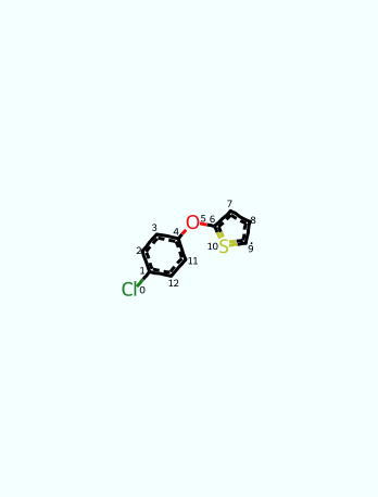 Clc1ccc(Oc2cc[c]s2)cc1